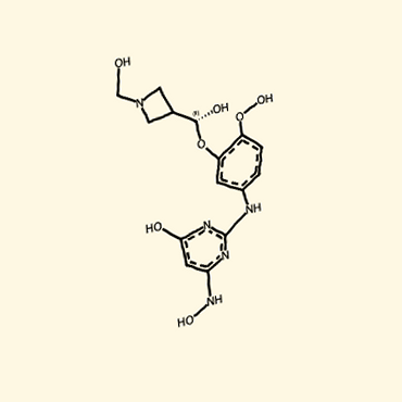 OCN1CC([C@H](O)Oc2cc(Nc3nc(O)cc(NO)n3)ccc2OO)C1